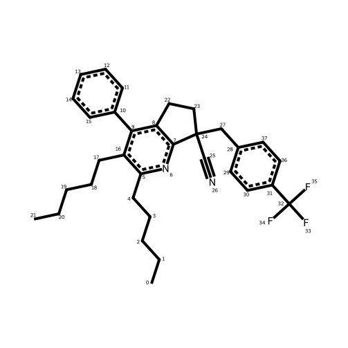 CCCCCc1nc2c(c(-c3ccccc3)c1CCCCC)CCC2(C#N)Cc1ccc(C(F)(F)F)cc1